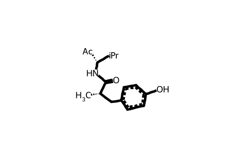 CC(=O)[C@@H](NC(=O)[C@@H](C)Cc1ccc(O)cc1)C(C)C